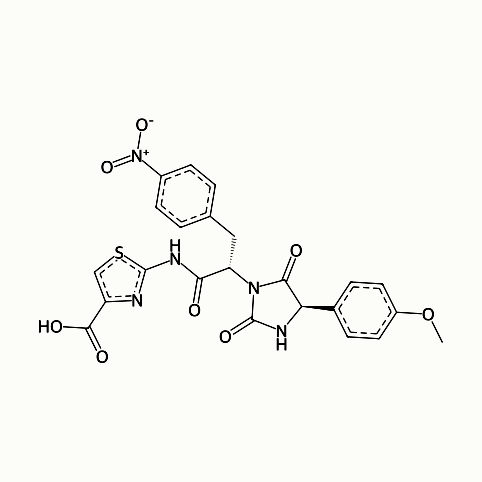 COc1ccc([C@H]2NC(=O)N([C@@H](Cc3ccc([N+](=O)[O-])cc3)C(=O)Nc3nc(C(=O)O)cs3)C2=O)cc1